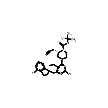 CC(C)(C)OC(=O)N1CCN(c2nc(Cl)nc3c2CC[C@@]2(CCc4c(Cl)cccc42)C3)C[C@@H]1CC#N